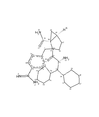 N=C(N)c1ccc(C[N+]2(C(=O)[C@H](N)C(C3CCCCC3)C3CCCCC3)CC[C@@H]3C[C@@]32C(N)=O)cc1